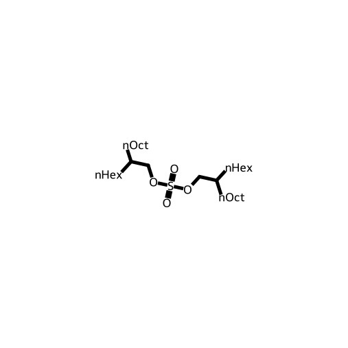 CCCCCCCCC(CCCCCC)COS(=O)(=O)OCC(CCCCCC)CCCCCCCC